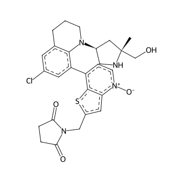 C[C@]1(CO)C[C@H](N2CCCc3cc(Cl)cc(-c4cc[n+]([O-])c5cc(CN6C(=O)CCC6=O)sc45)c32)CN1